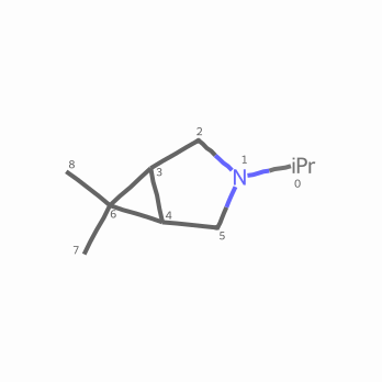 CC(C)N1CC2C(C1)C2(C)C